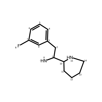 [NH]C(Cc1cccc(F)c1)C1CCCCN1